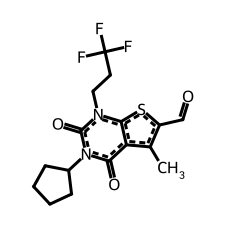 Cc1c(C=O)sc2c1c(=O)n(C1CCCC1)c(=O)n2CCC(F)(F)F